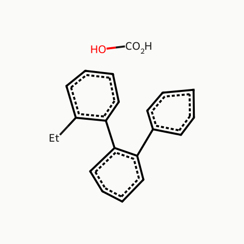 CCc1ccccc1-c1ccccc1-c1ccccc1.O=C(O)O